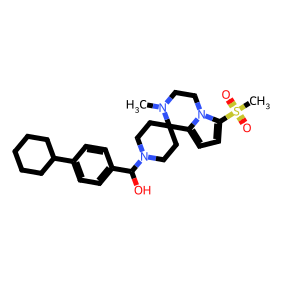 CN1CCn2c(ccc2S(C)(=O)=O)C12CCN(C(O)c1ccc(C3CCCCC3)cc1)CC2